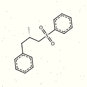 C[C@@H](Cc1ccccc1)CS(=O)(=O)c1ccccc1